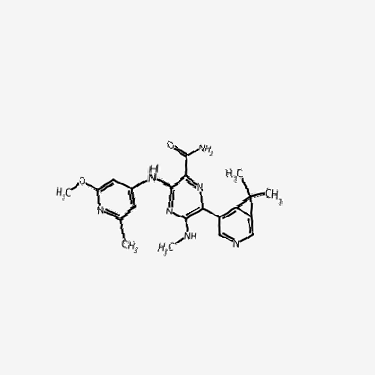 CNc1nc(Nc2cc(C)nc(OC)c2)c(C(N)=O)nc1-c1cncc2c1C2(C)C